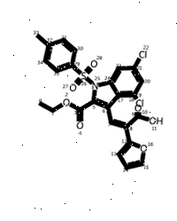 CCOC(=O)c1c(/C=C(\C(=O)O)c2ccco2)c2c(Cl)cc(Cl)cc2n1S(=O)(=O)c1ccc(C)cc1